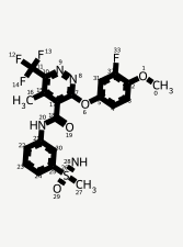 COc1ccc(Oc2nnc(C(F)(F)F)c(C)c2C(=O)Nc2cccc(S(C)(=N)=O)c2)cc1F